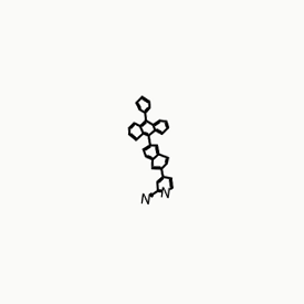 N#Cc1cc(-c2ccc3cc(-c4c5ccccc5c(-c5ccccc5)c5ccccc45)ccc3c2)ccn1